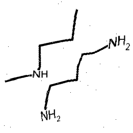 CCCNC.NCCCN